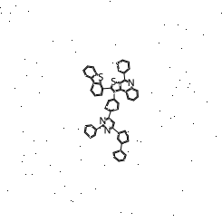 c1ccc(-c2cccc(-c3cc(-c4ccc(-c5c(-c6cccc7c6sc6ccccc67)sc6c(-c7ccccc7)nc7ccccc7c56)cc4)nc(-c4ccccc4)n3)c2)cc1